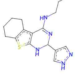 NCCNC1=NC(c2cn[nH]c2)Nc2sc3c(c21)CCCC3